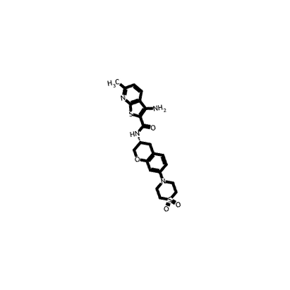 Cc1ccc2c(N)c(C(=O)N[C@H]3COc4cc(N5CCS(=O)(=O)CC5)ccc4C3)sc2n1